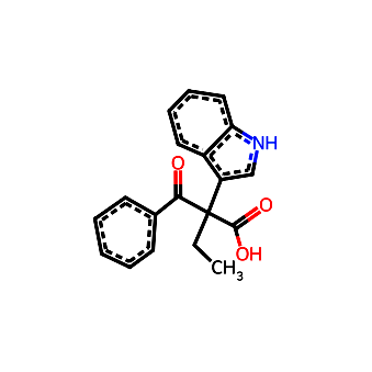 CCC(C(=O)O)(C(=O)c1ccccc1)c1c[nH]c2ccccc12